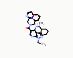 CCn1ncc2c(N[C@H](C)C3CCCCC3)c(C(=O)N(Cc3ccccn3)Cc3ccccn3)cnc21